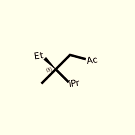 CC[C@@](C)(CC(C)=O)C(C)C